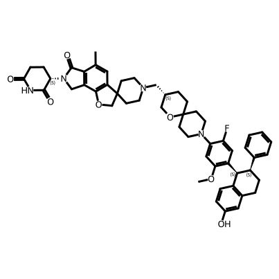 COc1cc(N2CCC3(CC[C@@H](CN4CCC5(CC4)COc4c5cc(C)c5c4CN([C@H]4CCC(=O)NC4=O)C5=O)CO3)CC2)c(F)cc1[C@@H]1c2ccc(O)cc2CC[C@@H]1c1ccccc1